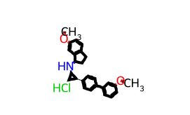 COc1cccc(-c2ccc([C@@H]3C[C@H]3NC3CCc4ccc(OC)cc43)cc2)c1.Cl